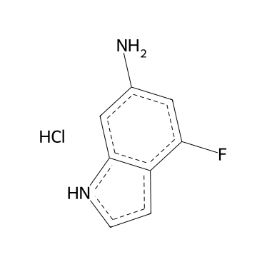 Cl.Nc1cc(F)c2cc[nH]c2c1